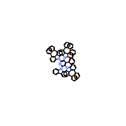 c1ccc(-c2cccc3c2c2c(-c4ccccc4)cccc2n3-c2nc(-n3c4ccccc4c4ccccc43)c(-n3c4cccc(-c5ccccc5)c4c4c(-c5ccccc5)cccc43)c(-c3cccc4c3sc3ccccc34)c2-n2c3cccc(-c4ccccc4)c3c3c(-c4ccccc4)cccc32)cc1